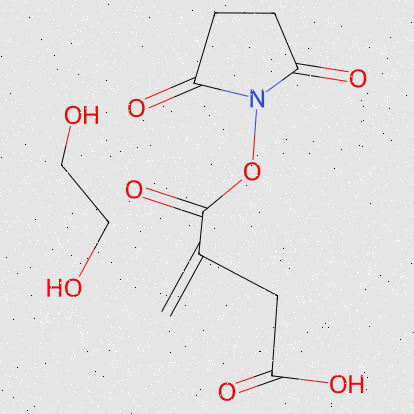 C=C(CC(=O)O)C(=O)ON1C(=O)CCC1=O.OCCO